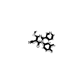 CSc1nc(-c2cccnc2)n(-c2ccc(C)c(C)c2)c(=O)c1C#N